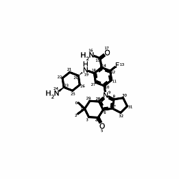 CC1(C)CC(=O)c2c3c(n(-c4cc(F)c(C(N)=O)c(N[C@H]5CC[C@H](N)CC5)c4)c2C1)CCC3